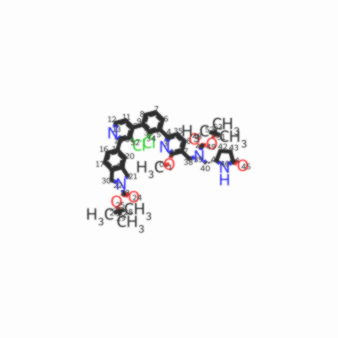 COc1nc(-c2cccc(-c3ccnc(-c4ccc5c(c4)CN(C(=O)OC(C)(C)C)C5)c3Cl)c2Cl)ccc1CN(C[C@@H]1CCC(=O)N1)C(=O)OC(C)(C)C